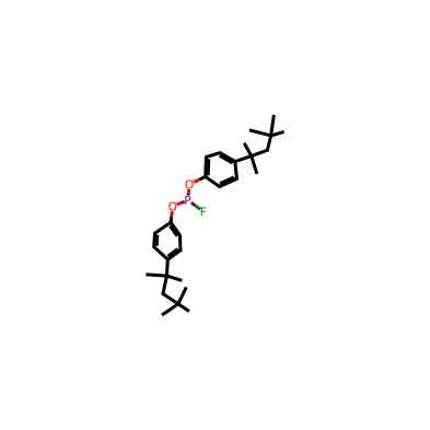 CC(C)(C)CC(C)(C)c1ccc(OP(F)Oc2ccc(C(C)(C)CC(C)(C)C)cc2)cc1